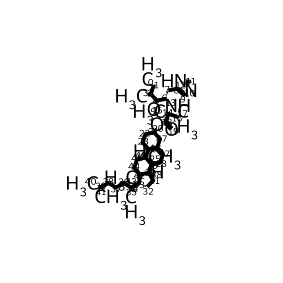 CCC(C)C(=O)[C@H](Cc1cnc[nH]1)NC(C)(CC)C(=O)O[C@H]1CC[C@@]2(C)C(=CCC3[C@@H]4CC[C@H]([C@H](C)CCCC(C)C)[C@@]4(C)CC[C@@H]32)C1